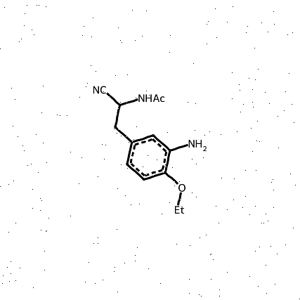 CCOc1ccc(CC(C#N)NC(C)=O)cc1N